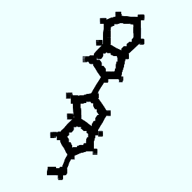 COc1nn2cc(-c3cc4ccccc4o3)nc2s1